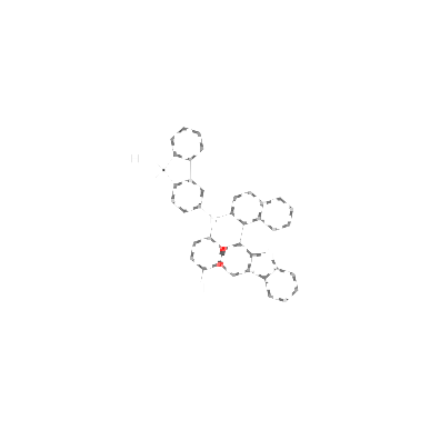 CC(C)(C)c1ccc(N(c2ccc3c(c2)-c2ccccc2C3(C)C)c2ccc3ccccc3c2-c2cccc3c2sc2ccccc23)cc1